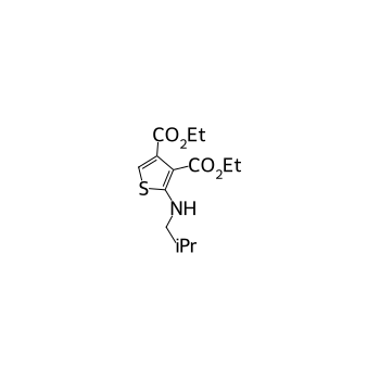 CCOC(=O)c1csc(NCC(C)C)c1C(=O)OCC